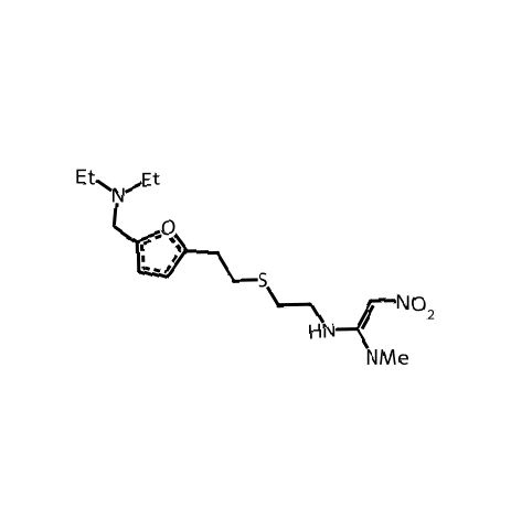 CCN(CC)Cc1ccc(CCSCCNC(=C[N+](=O)[O-])NC)o1